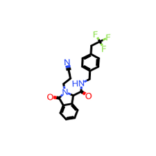 N#CCCN1C(=O)c2ccccc2C1C(=O)NCc1ccc(CC(F)(F)F)cc1